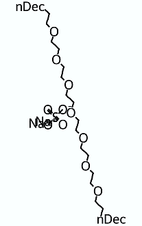 CCCCCCCCCCCCOCCOCCOCCOCCOCCOCCOCCCCCCCCCCCC.O=S(=O)([O-])[O-].[Na+].[Na+]